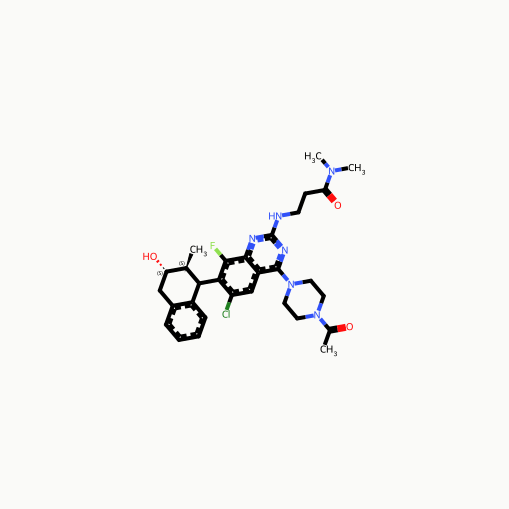 CC(=O)N1CCN(c2nc(NCCC(=O)N(C)C)nc3c(F)c(C4c5ccccc5C[C@H](O)[C@H]4C)c(Cl)cc23)CC1